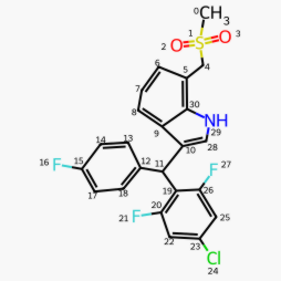 CS(=O)(=O)Cc1cccc2c(C(c3ccc(F)cc3)c3c(F)cc(Cl)cc3F)c[nH]c12